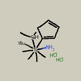 C[SiH](C)[Ti]([CH3])([CH3])([CH3])([CH3])([NH2])([C]1=CC=CC1)[C](C)(C)C.Cl.Cl